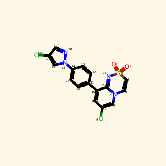 O=S1(=O)C=CN2C=C(Cl)C=C(c3ccc(-n4cc(Cl)cn4)cc3)C2=N1